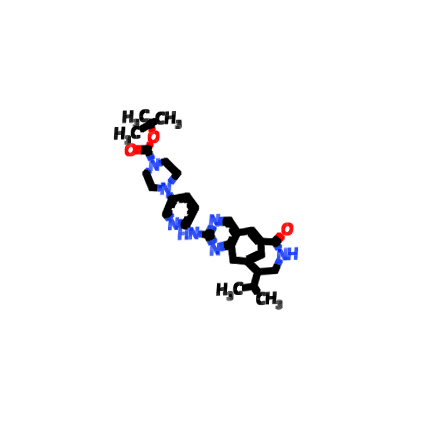 CC(C)C1CNC(=O)C2=Cc3cnc(Nc4ccc(N5CCN(C(=O)OC(C)(C)C)CC5)cn4)nc3CC1=C2